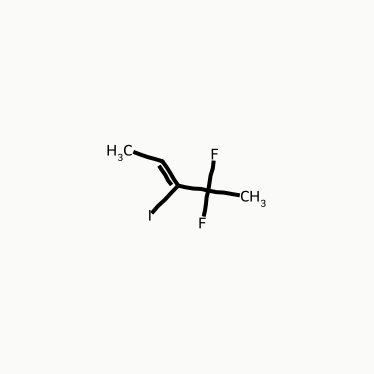 C/C=C(\I)C(C)(F)F